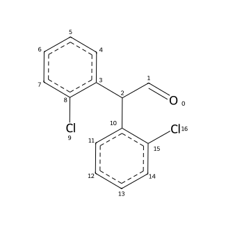 O=CC(c1ccccc1Cl)c1ccccc1Cl